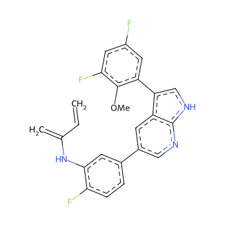 C=CC(=C)Nc1cc(-c2cnc3[nH]cc(-c4cc(F)cc(F)c4OC)c3c2)ccc1F